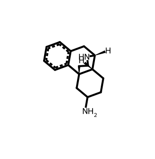 NC1CC[C@H]2[C@H]3Cc4ccccc4[C@@]2(CCN3)C1